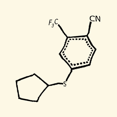 N#Cc1ccc(SC2CCCC2)cc1C(F)(F)F